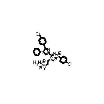 CN(CCN(C)S(N)(=O)=O)/C(=N\S(=O)(=O)c1ccc(Cl)cc1)N1C[C@H](c2ccccc2)C(c2ccc(Cl)cc2)=N1